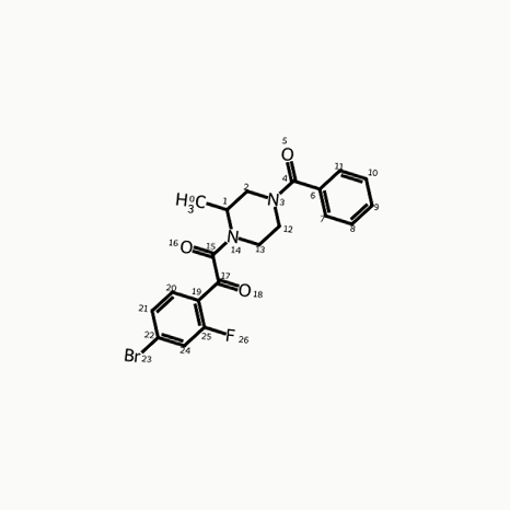 CC1CN(C(=O)c2ccccc2)CCN1C(=O)C(=O)c1ccc(Br)cc1F